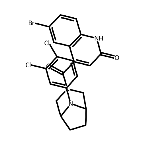 O=C(c1cc(=O)[nH]c2ccc(Br)cc12)N1CC2CCC(C1)N2c1ccc(Cl)c(Cl)c1